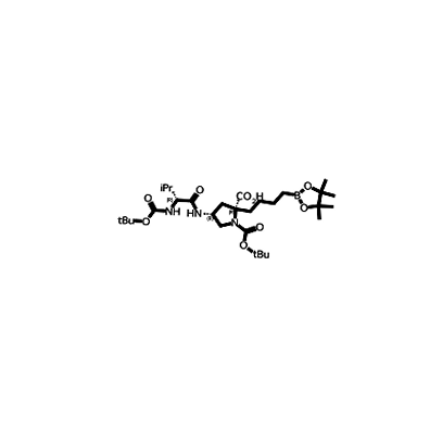 CC(C)[C@@H](NC(=O)OC(C)(C)C)C(=O)N[C@H]1CN(C(=O)OC(C)(C)C)[C@@](CCCCB2OC(C)(C)C(C)(C)O2)(C(=O)O)C1